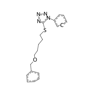 c1ccc(COCCCCCSc2nnnn2-c2ccccc2)cc1